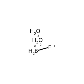 BF.O.O